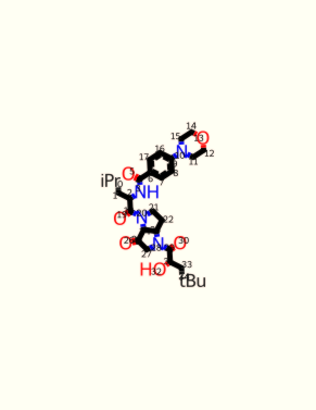 CC(C)CC(NC(=O)c1ccc(N2CCOCC2)cc1)C(=O)N1CCC2C1C(=O)CN2C(=O)C(O)CC(C)(C)C